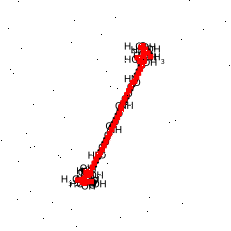 CCC1OC(OC2C(C(=O)O)OC(OCCCCCCNC(=O)CCOCCOCCOCCNC(=O)CCOCCCOCCC(=O)NCCOCCOCCOCCC(=O)NCCCCCCOC3OC(C(=O)O)C(OC4OC(COS(=O)(=O)O)C(O)C(O)C4NC(C)=O)C(O)C3O)C(O)C2O)C(NC(C)=O)C(O)C1O